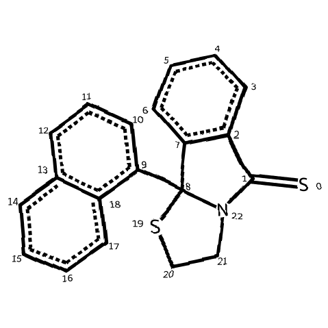 S=C1c2ccccc2C2(c3cccc4ccccc34)SCCN12